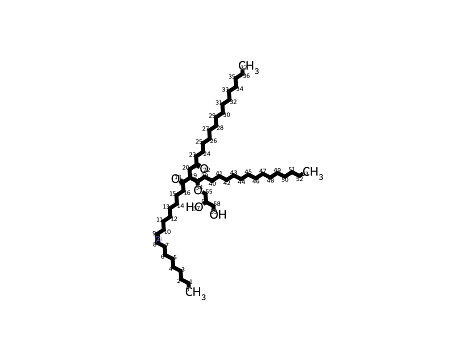 CCCCCCCC/C=C\CCCCCCCC(=O)C(CC(=O)CCCCCCCCCCCCCCC)C(CCCCCCCCCCCCCCC)OCC(O)CO